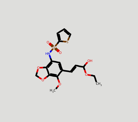 CCOC(O)/C=C/c1cc(NS(=O)(=O)c2cccs2)c2c(c1OC)OCO2